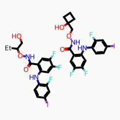 CCC(CO)ONC(=O)c1cc(F)c(F)cc1Nc1ccc(I)cc1F.O=C(NOCC1(O)CCC1)c1cc(F)c(F)cc1Nc1ccc(I)cc1F